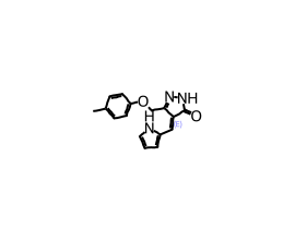 Cc1ccc(OCC2=NNC(=O)/C2=C/c2ccc[nH]2)cc1